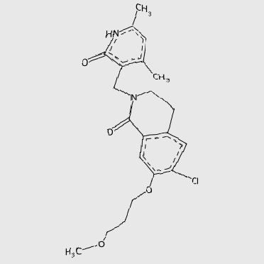 COCCCOc1cc2c(cc1Cl)CCN(Cc1c(C)cc(C)[nH]c1=O)C2=O